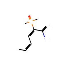 C=C(N)/C(=C\C=C/C)P(C)(C)=O